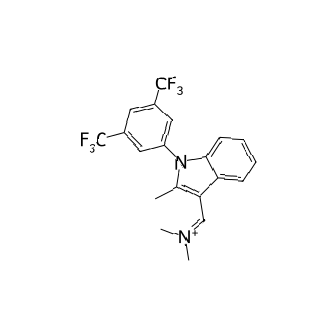 Cc1c(C=[N+](C)C)c2ccccc2n1-c1cc(C(F)(F)F)cc(C(F)(F)F)c1